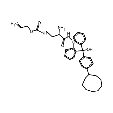 C=CCOC(=O)NCCC(N)C(=O)NOc1ccccc1C(O)(c1ccccc1)c1ccc(C2CCCCCCCC2)cc1